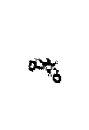 [2H]c1c(C)c(=O)n(Cc2ccccc2)c(=O)n1Cc1ccccc1